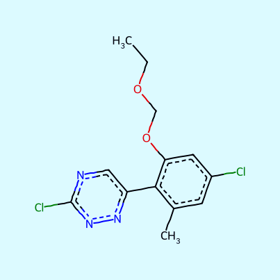 CCOCOc1cc(Cl)cc(C)c1-c1cnc(Cl)nn1